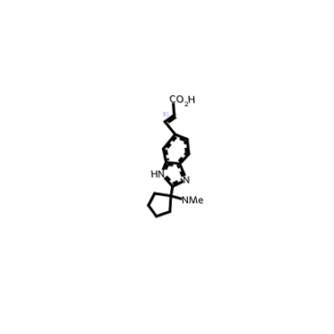 CNC1(c2nc3ccc(/C=C/C(=O)O)cc3[nH]2)CCCC1